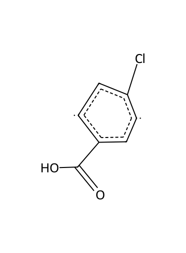 O=C(O)c1[c]cc(Cl)[c]c1